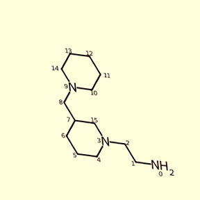 NCCN1CCCC(CN2CCCCC2)C1